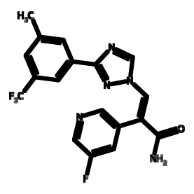 Cc1cc(-c2ncn(C=C(C(N)=O)c3cncc(F)c3)n2)cc(C(F)(F)F)c1